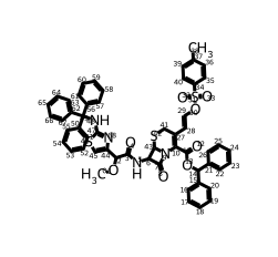 COC(C(=O)NC1C(=O)N2C(C(=O)OC(c3ccccc3)c3ccccc3)=C(/C=C/OS(=O)(=O)c3ccc(C)cc3)CSC12)c1csc(NC(c2ccccc2)(c2ccccc2)c2ccccc2)n1